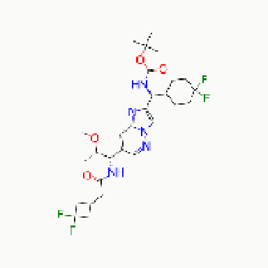 CO[C@@H](C)[C@@H](NC(=O)CC1CC(F)(F)C1)c1cnn2cc([C@@H](NC(=O)OC(C)(C)C)C3CCC(F)(F)CC3)nc2c1